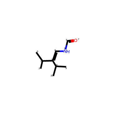 CC(C)C(=CNC=O)C(C)C